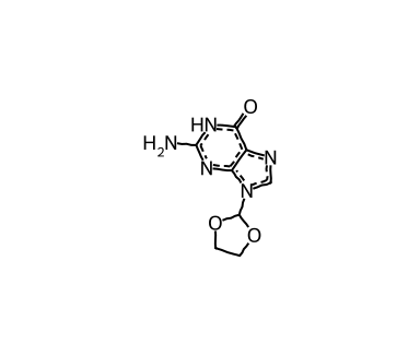 Nc1nc2c(ncn2C2OCCO2)c(=O)[nH]1